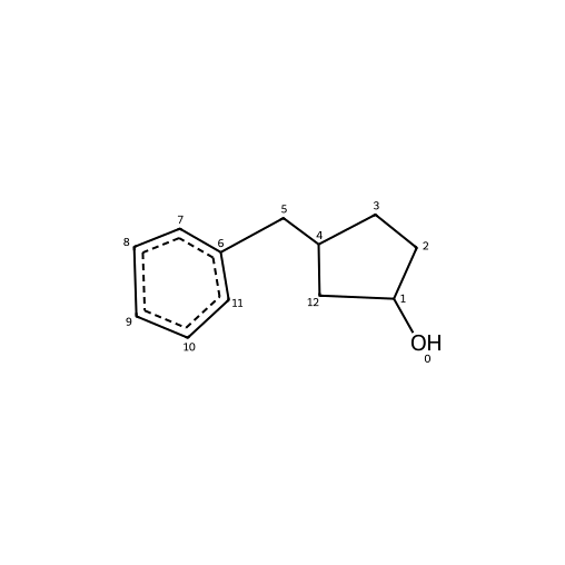 OC1CCC(Cc2ccccc2)C1